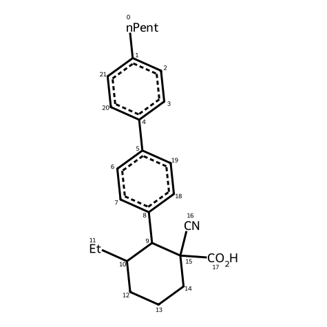 CCCCCc1ccc(-c2ccc(C3C(CC)CCCC3(C#N)C(=O)O)cc2)cc1